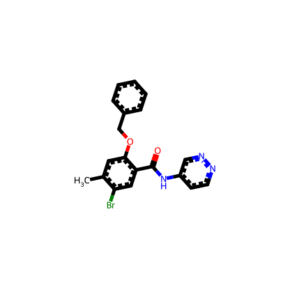 Cc1cc(OCc2ccccc2)c(C(=O)Nc2ccnnc2)cc1Br